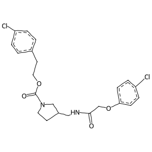 O=C(COc1ccc(Cl)cc1)NCC1CCN(C(=O)OCCc2ccc(Cl)cc2)C1